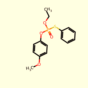 CCOP(=O)(Oc1ccc(OC)cc1)Sc1ccccc1